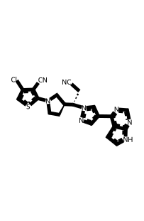 N#CC[C@@H]([C@H]1CCN(c2scc(Cl)c2C#N)C1)n1cc(-c2ncnc3[nH]ccc23)cn1